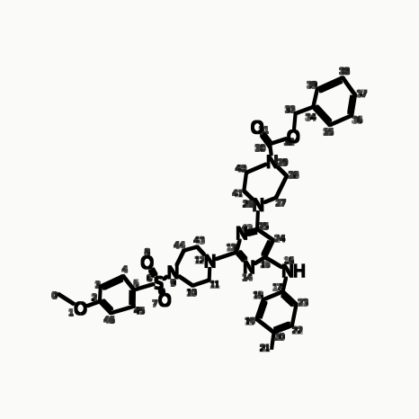 COc1ccc(S(=O)(=O)N2CCN(c3nc(Nc4ccc(C)cc4)cc(N4CCN(C(=O)OCc5ccccc5)CC4)n3)CC2)cc1